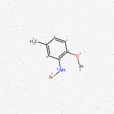 Cc1ccc(OC(C)C)c(NBr)c1